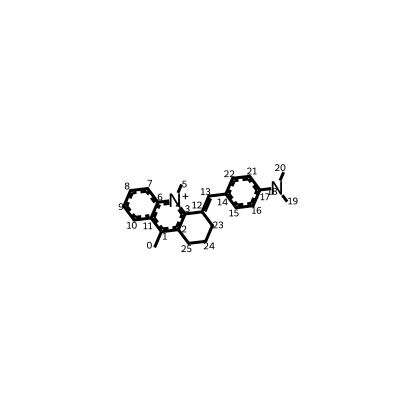 Cc1c2c([n+](C)c3ccccc13)/C(=C/c1ccc(N(C)C)cc1)CCC2